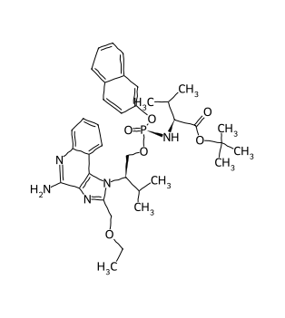 CCOCc1nc2c(N)nc3ccccc3c2n1[C@@H](CO[P@@](=O)(N[C@H](C(=O)OC(C)(C)C)C(C)C)Oc1ccc2ccccc2c1)C(C)C